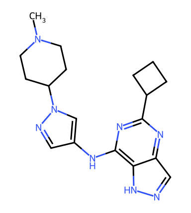 CN1CCC(n2cc(Nc3nc(C4CCC4)nc4cn[nH]c34)cn2)CC1